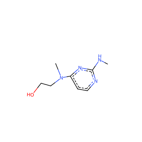 CNc1nccc(N(C)CCO)n1